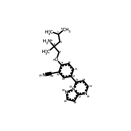 CC(C)CC(C)(N)COc1ccc(-c2ccnc3ccnn23)cc1C#N